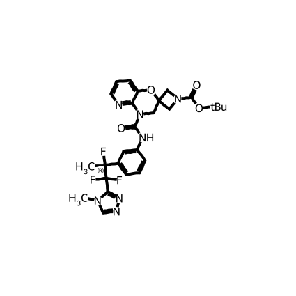 Cn1cnnc1C(F)(F)[C@](C)(F)c1cccc(NC(=O)N2CC3(CN(C(=O)OC(C)(C)C)C3)Oc3cccnc32)c1